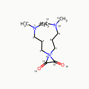 CN(C)CCC[N+]1(CCCN(C)C)C(=O)C1=O